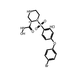 Cl.O=C(NO)[C@H]1CNCCN1S(=O)(=O)c1ccc(Oc2ccc(Br)cc2)cc1